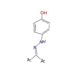 CC(=O)C(=NNc1ccc(O)cc1)C(C)=O